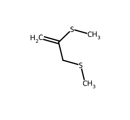 C=C(CSC)SC